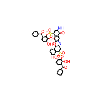 N=C1C=C(S(=O)(=O)Oc2c(C(=O)c3ccccc3)ccc(O)c2O)c2ccc(/N=C3/C=C(S(=O)(=O)Oc4c(O)ccc(C(=O)c5ccccc5)c4O)c4ccccc4C3=O)cc2C1=O